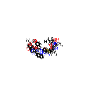 COc1ccc(C[C@H](NC(C=O)[C@@H](N)C(C)(C)SSC(C)(C)CC(=O)N[C@@H](CC(C)=O)C(=O)N[C@H](C(C)=O)[C@@H](C)O)C(=O)N[C@@H](Cc2ccc3ccccc3c2)C(=O)NC2(C(C)=O)CCOCC2)cc1